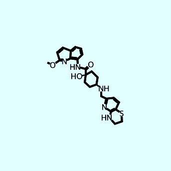 COc1ccc2cccc(NC(=O)[C@]3(O)CC[C@@H](NCc4ccc5c(n4)NCCS5)CC3)c2n1